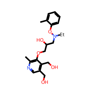 CCN(CC(O)COc1c(C)ncc(CO)c1CO)Oc1ccccc1C